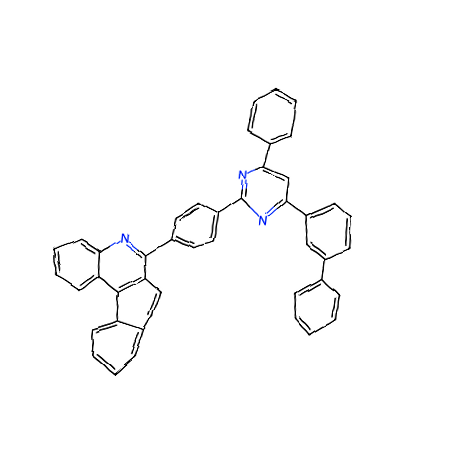 c1ccc(-c2cccc(-c3cc(-c4ccccc4)nc(-c4ccc(-c5nc6ccccc6c6c5ccc5ccccc56)cc4)n3)c2)cc1